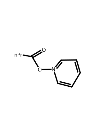 CCCC(=O)O[n+]1ccccc1